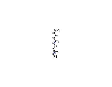 [CH2]C/C=C(\C)CC/C=C(\C)CCCC(C)C